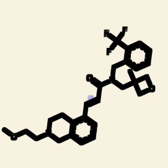 COCCN1CCc2c(/C=C/C(=O)N(Cc3ccccc3C(F)(F)F)CC3(C)COC3)cccc2C1